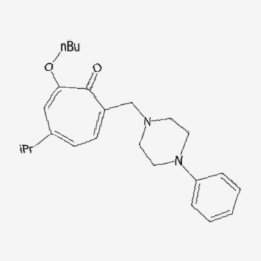 CCCCOc1cc(C(C)C)ccc(CN2CCN(c3ccccc3)CC2)c1=O